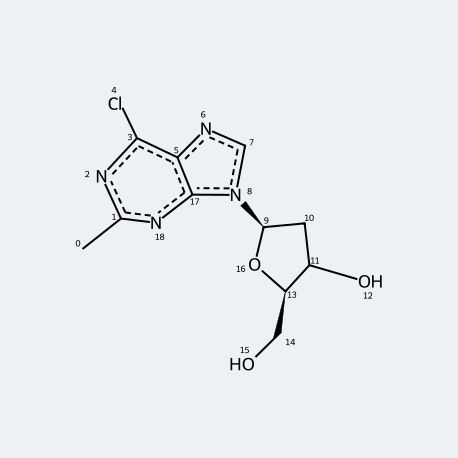 Cc1nc(Cl)c2ncn([C@H]3CC(O)[C@@H](CO)O3)c2n1